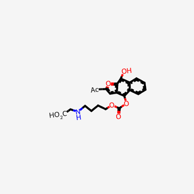 CC(=O)c1cc2c(OC(=O)OCCCCNCC(=O)O)c3ccccc3c(O)c2o1